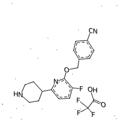 N#Cc1ccc(COc2nc(C3CCNCC3)ccc2F)cc1.O=C(O)C(F)(F)F